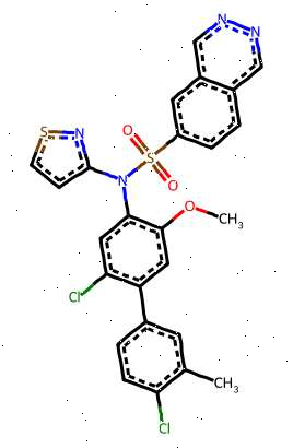 COc1cc(-c2ccc(Cl)c(C)c2)c(Cl)cc1N(c1ccsn1)S(=O)(=O)c1ccc2cnncc2c1